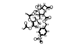 CC(=O)OC1=C(OC(C)=O)[N+](C)(C[C@@]2(C)[C@H](C(=O)OCc3ccc([N+](=O)[O-])cc3)N3C(=O)C[C@@H]3S2(=O)=O)N=N1